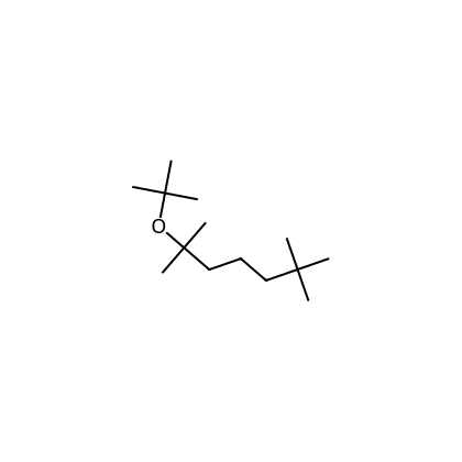 CC(C)(C)CCCC(C)(C)OC(C)(C)C